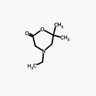 CCN1CC(=O)OC(C)(C)C1